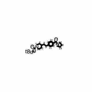 CC(C)(C)OC(=O)N1CCC(CCc2ccc(C(=O)N3CCCC3)cc2)CC1